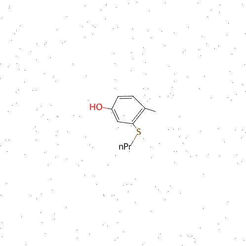 CCCSc1cc(O)ccc1C